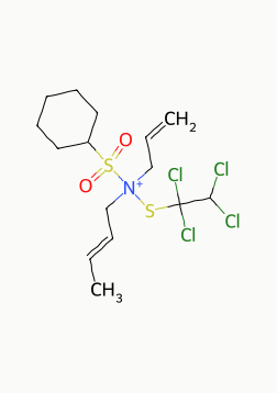 C=CC[N+](CC=CC)(SC(Cl)(Cl)C(Cl)Cl)S(=O)(=O)C1CCCCC1